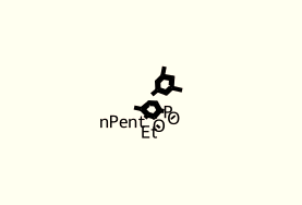 CCCCCc1c(C)ccc(P=O)c1OCC.Cc1cc(C)cc(C)c1